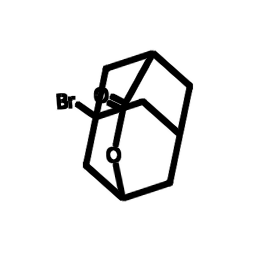 O=C1OC2CC3CC1CC(Br)(C3)C2